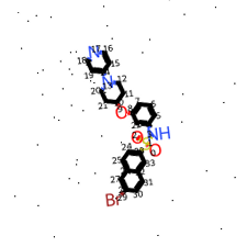 O=S(=O)(Nc1cccc(OC2CCN(c3ccncc3)CC2)c1)c1ccc2cc(Br)ccc2c1